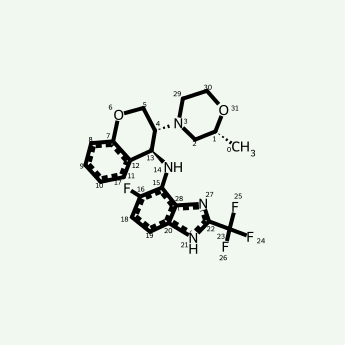 C[C@@H]1CN([C@H]2COc3ccccc3[C@@H]2Nc2c(F)ccc3[nH]c(C(F)(F)F)nc23)CCO1